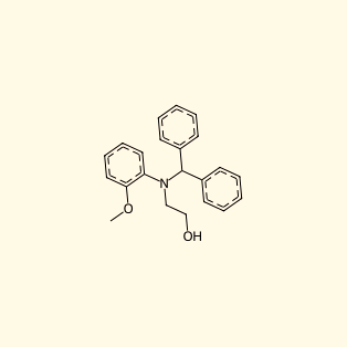 COc1ccccc1N(CCO)C(c1ccccc1)c1ccccc1